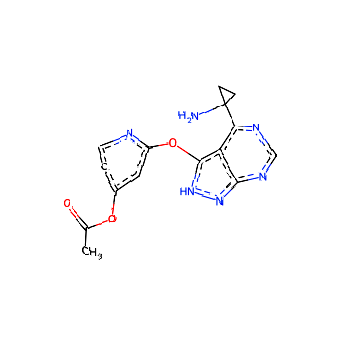 CC(=O)Oc1ccnc(Oc2[nH]nc3ncnc(C4(N)CC4)c23)c1